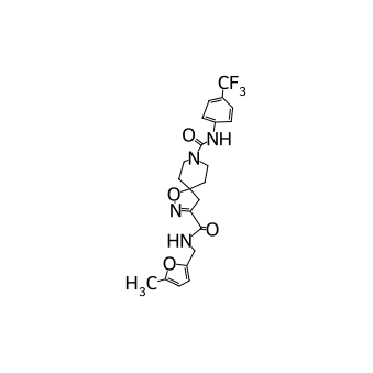 Cc1ccc(CNC(=O)C2=NOC3(CCN(C(=O)Nc4ccc(C(F)(F)F)cc4)CC3)C2)o1